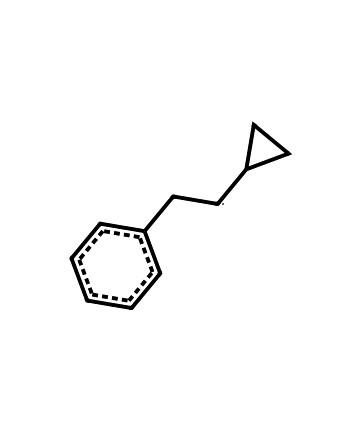 [CH](Cc1ccccc1)C1CC1